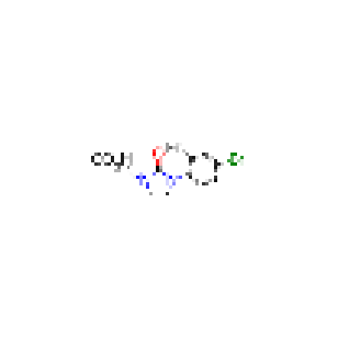 CCc1cc(Br)ccc1N1CCN(CC(=O)O)C1=O